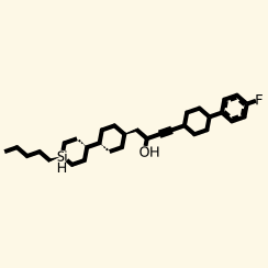 CCCCC[Si@H]1CC[C@H]([C@H]2CC[C@H](CC(O)C#CC3CCC(c4ccc(F)cc4)CC3)CC2)CC1